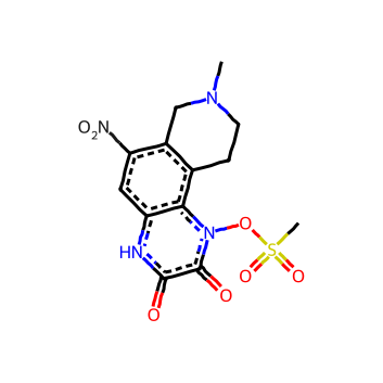 CN1CCc2c(c([N+](=O)[O-])cc3[nH]c(=O)c(=O)n(OS(C)(=O)=O)c23)C1